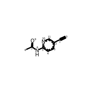 C#Cc1ccc(NC(C)=O)nc1